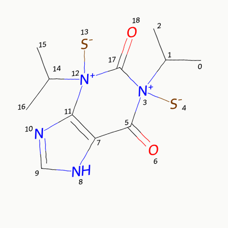 CC(C)[N+]1([S-])C(=O)c2[nH]cnc2[N+]([S-])(C(C)C)C1=O